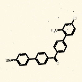 Cc1cc(Cl)ccc1-c1ccc(C(=O)c2ccc(-c3ccc(C(C)(C)C)cc3)cc2)cc1